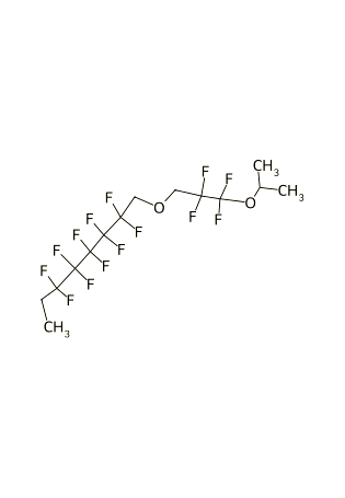 CCC(F)(F)C(F)(F)C(F)(F)C(F)(F)C(F)(F)COCC(F)(F)C(F)(F)OC(C)C